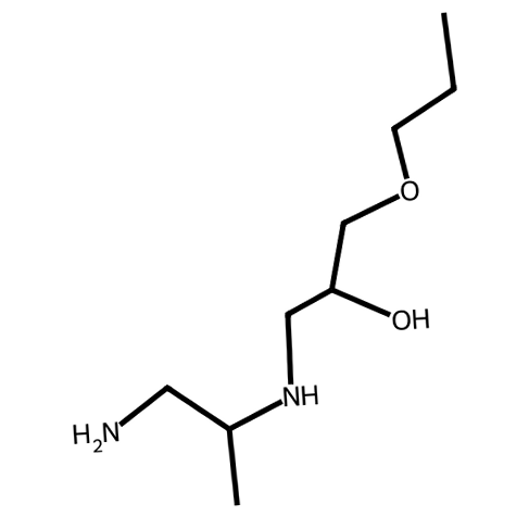 CCCOCC(O)CNC(C)CN